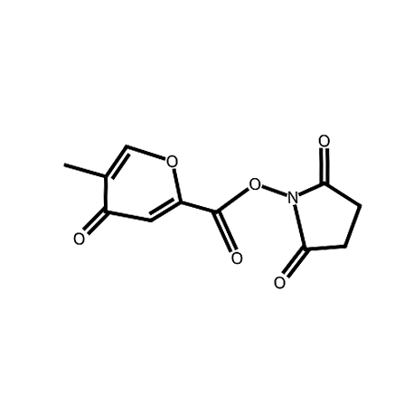 Cc1coc(C(=O)ON2C(=O)CCC2=O)cc1=O